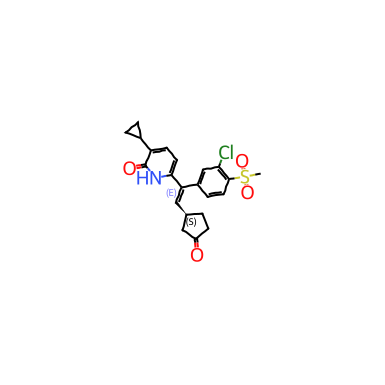 CS(=O)(=O)c1ccc(/C(=C\[C@H]2CCC(=O)C2)c2ccc(C3CC3)c(=O)[nH]2)cc1Cl